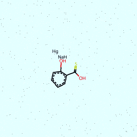 OC(=S)c1ccccc1O.[Hg].[NaH]